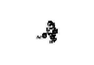 CC[C@@H]1CN(Cc2cc(C(CC(=O)Nc3ccc(OC)nc3)c3ccc4c(nnn4CC)c3C)ccc2C)S(=O)(=O)c2cccnc2O1